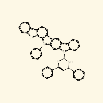 C1=C(c2ccccc2)NC(n2c3ccccc3c3cc4c5ccc6c7ccccc7oc6c5n(-c5ccccc5)c4cc32)NC1c1ccccc1